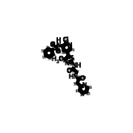 Cc1nc(NC(=O)CNC(=O)Cc2ccccn2)sc1-c1cnc(Cl)c(NS(=O)(=O)c2ccccc2)c1